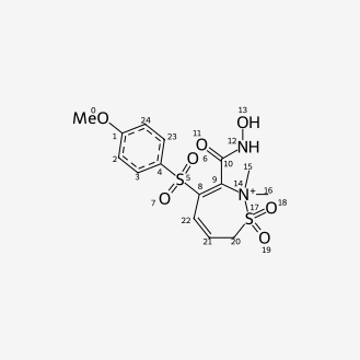 COc1ccc(S(=O)(=O)C2=C(C(=O)NO)[N+](C)(C)S(=O)(=O)CC=C2)cc1